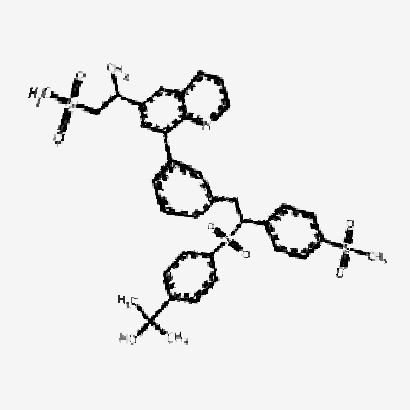 CC(CS(C)(=O)=O)c1cc(-c2cccc(CC(c3ccc(S(C)(=O)=O)cc3)S(=O)(=O)c3ccc(C(C)(C)O)cc3)c2)c2ncccc2c1